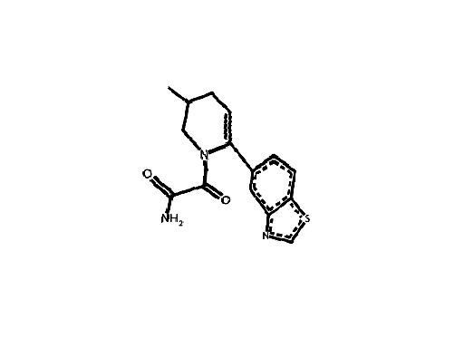 CC1CC=C(c2ccc3scnc3c2)N(C(=O)C(N)=O)C1